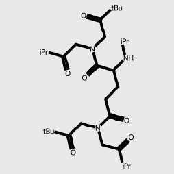 CC(C)NC(CCC(=O)N(CC(=O)C(C)C)CC(=O)C(C)(C)C)C(=O)N(CC(=O)C(C)C)CC(=O)C(C)(C)C